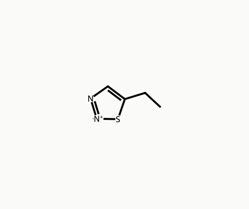 CCC1=CN=[N+]S1